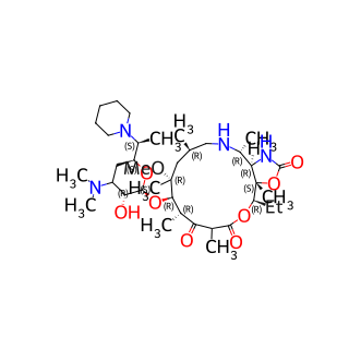 CC[C@H]1OC(=O)C(C)C(=O)[C@H](C)[C@@H](O[C@@H]2O[C@H]([C@H](C)N3CCCCC3)CC(N(C)C)[C@H]2O)[C@](C)(OC)C[C@@H](C)CN[C@H](C)[C@H]2NC(=O)O[C@@]21C